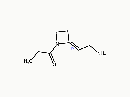 CCC(=O)N1CC/C1=C\CN